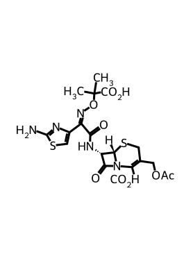 CC(=O)OCC1=C(C(=O)O)N2C(=O)[C@H](NC(=O)/C(=N\OC(C)(C)C(=O)O)c3csc(N)n3)[C@@H]2SC1